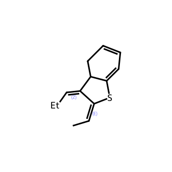 C/C=C1/SC2=CC=CCC2/C1=C/CC